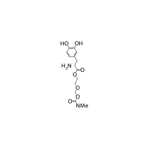 CNC(=O)OCOCCOC(=O)[C@H](N)Cc1ccc(O)c(O)c1